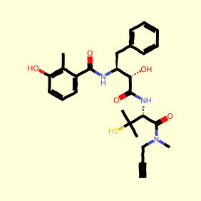 C#CCN(C)C(=O)[C@@H](NC(=O)[C@@H](O)[C@H](Cc1ccccc1)NC(=O)c1cccc(O)c1C)C(C)(C)S